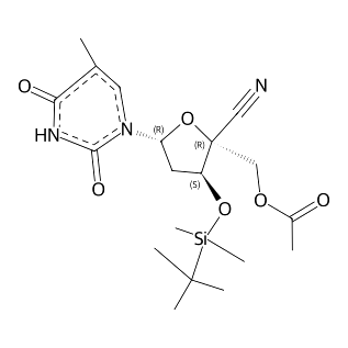 CC(=O)OC[C@@]1(C#N)O[C@@H](n2cc(C)c(=O)[nH]c2=O)C[C@@H]1O[Si](C)(C)C(C)(C)C